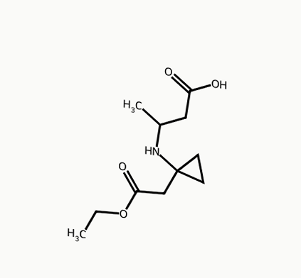 CCOC(=O)CC1(NC(C)CC(=O)O)CC1